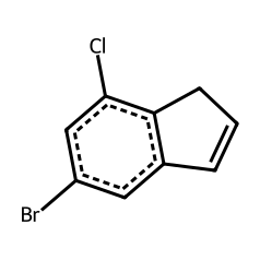 Clc1cc(Br)cc2c1CC=C2